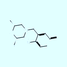 C=C/C=C(CN1C[C@@H](C)O[C@@H](C)C1)\C(N)=C/C